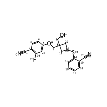 N#Cc1ccc(OCC2(CO)CN(Sc3ccccc3C#N)C2)cc1F